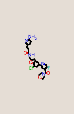 Nc1ccc(/C=C/C(=O)NCc2cc3cc(-c4cc(C(=O)N5CCOCC5)c(F)cn4)cc(Cl)c3o2)cn1